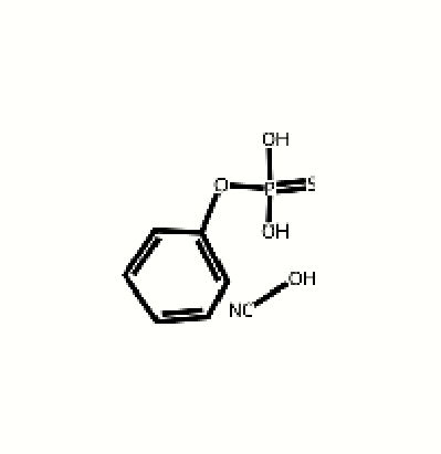 N#CO.OP(O)(=S)Oc1ccccc1